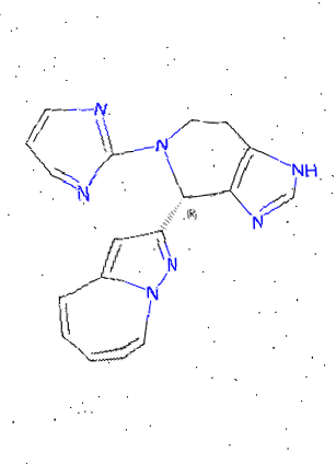 c1cnc(N2CCc3[nH]cnc3[C@@H]2c2cc3ccccn3n2)nc1